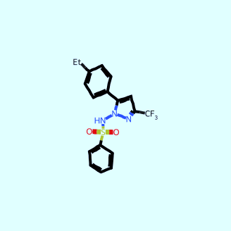 CCc1ccc(-c2cc(C(F)(F)F)nn2NS(=O)(=O)c2ccccc2)cc1